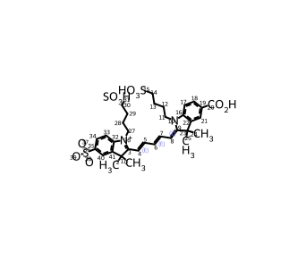 CC1(C)C(/C=C/C=C/C=C2\N(CCCCS(=O)(=O)O)c3ccc(C(=O)O)cc3C2(C)C)=[N+](CCCCS(=O)(=O)O)c2ccc(S(=O)(=O)[O-])cc21